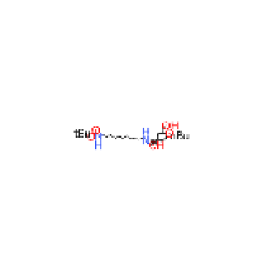 CCCCOc1ccc([C@@H](O)CNCCCCCCCCCCCNC(=O)OC(C)(C)C)cc1CO